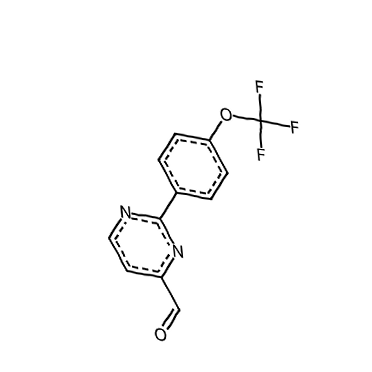 O=Cc1ccnc(-c2ccc(OC(F)(F)F)cc2)n1